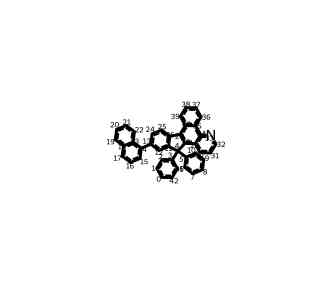 c1ccc(C2(c3ccccc3)c3cc(-c4cccc5ccccc45)ccc3-c3c2c2cccnc2c2ccccc32)cc1